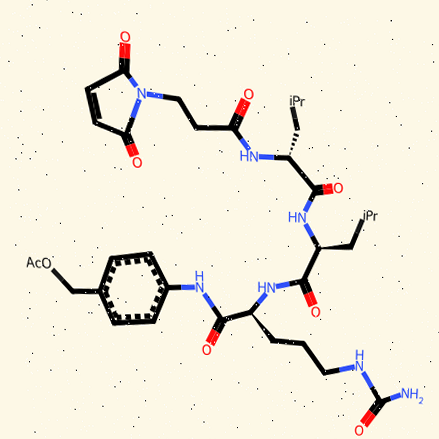 CC(=O)OCc1ccc(NC(=O)[C@H](CCCNC(N)=O)NC(=O)[C@H](CC(C)C)NC(=O)[C@@H](CC(C)C)NC(=O)CCN2C(=O)C=CC2=O)cc1